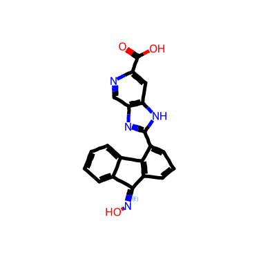 O=C(O)c1cc2[nH]c(-c3cccc4c3-c3ccccc3/C4=N\O)nc2cn1